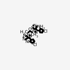 CC(C(=O)C(C)n1nc(-c2ccc(Cl)cc2)c2c(N)ncnc21)n1nc(-c2ccc(Cl)cc2)c2c(N)ncnc21